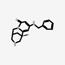 O=c1cc(NCc2ccccc2)cc2n1CC1CNC[C@@H]2C1